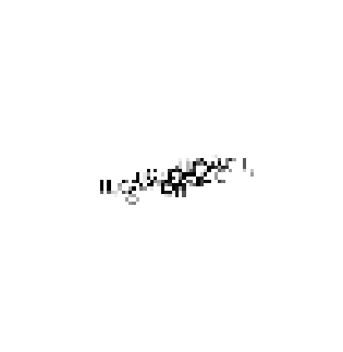 CC(=O)OCC(=O)[C@H]1CC[C@H]2[C@@H]3CC[C@H]4C[C@H](OC(C)=O)CC[C@]4(C)[C@H]3CC[C@]12C